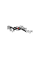 CCC(CC)(c1ccc(CCC(O)C(C)(C)C)c(C)c1)c1ccc(OC[C@H](O)CCCC(=O)O)c(C)c1